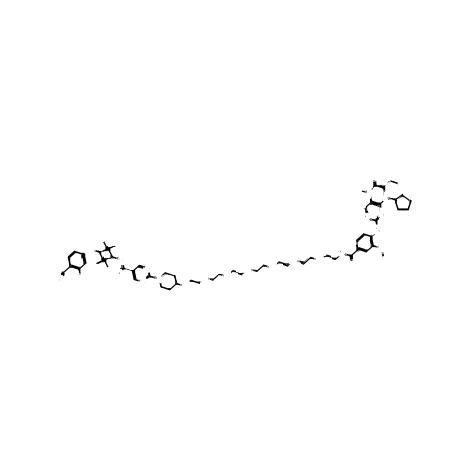 CC[C@@H]1C(=O)N(C)c2cnc(Nc3ccc(C(=O)NCCOCCOCCOCCOCCOCCOCCOC4CCN(c5ncc(C(=O)NC6C(C)(C)C(Oc7ccc(C#N)c(Cl)c7)C6(C)C)cn5)CC4)cc3OC)nc2N1C1CCCC1